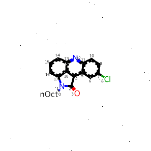 CCCCCCCCN1C(=O)c2c3cc(Cl)ccc3nc3cccc1c23